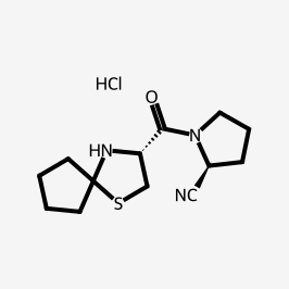 Cl.N#C[C@@H]1CCCN1C(=O)[C@@H]1CSC2(CCCC2)N1